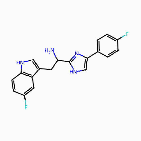 NC(Cc1c[nH]c2ccc(F)cc12)c1nc(-c2ccc(F)cc2)c[nH]1